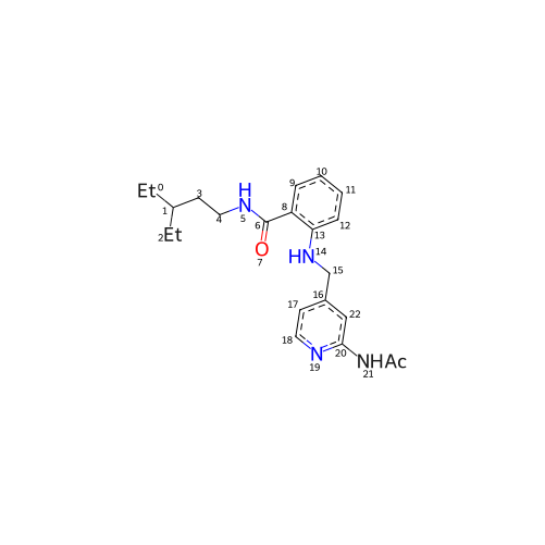 CCC(CC)CCNC(=O)c1ccccc1NCc1ccnc(NC(C)=O)c1